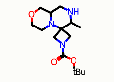 CC1NCC2COCCN2C12CN(C(=O)OC(C)(C)C)C2